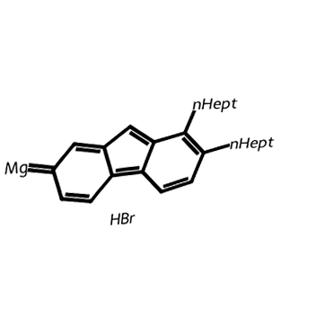 Br.CCCCCCCc1ccc2c(c1CCCCCCC)=Cc1c[c](=[Mg])ccc1=2